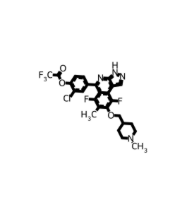 Cc1c(OCC2CCN(C)CC2)c(F)c2c(c(-c3ccc(OC(=O)C(F)(F)F)c(Cl)c3)nc3[nH]ncc32)c1F